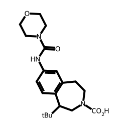 CC(C)(C)C1CN(C(=O)O)CCc2cc(NC(=O)N3CCOCC3)ccc21